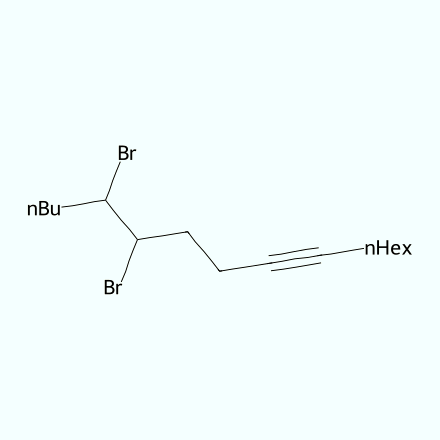 CCCCCCC#CCCC(Br)C(Br)CCCC